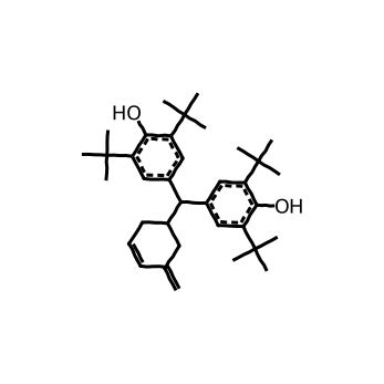 C=C1C=CCC(C(c2cc(C(C)(C)C)c(O)c(C(C)(C)C)c2)c2cc(C(C)(C)C)c(O)c(C(C)(C)C)c2)C1